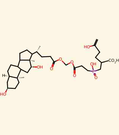 C=C(O)CCC(CP(=O)(O)CCC(=O)OCOC(=O)CC[C@@H](C)C1CCC2C3CC[C@@H]4C[C@H](O)CC[C@]4(C)C3C[C@H](O)[C@@]21C)C(=O)O